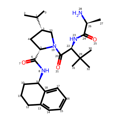 CC(C)[C@H]1C[C@@H](C(=O)N[C@@H]2CCCc3ccccc32)N(C(=O)[C@@H](NC(=O)[C@H](C)N)C(C)(C)C)C1